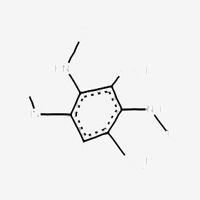 O=C(O)c1cc(NI)c(NI)c(C(=O)O)c1NI